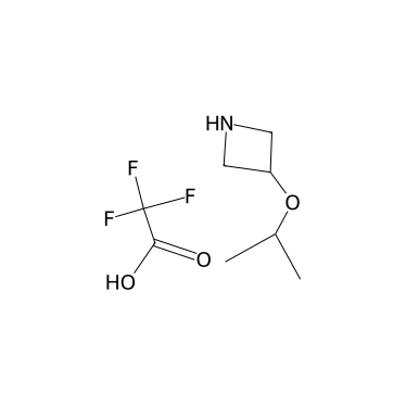 CC(C)OC1CNC1.O=C(O)C(F)(F)F